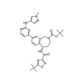 Cn1cc(Nc2nccc(-c3ccc4c(c3)CN(C(=O)OC(C)(C)C)CC[C@H]4NC(=O)c3noc(C(C)(C)C)n3)n2)cn1